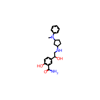 CN(c1ccccc1)C1CCC(NCC(O)c2ccc(O)c(C(N)=O)c2)C1